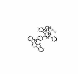 C[Si]1(C)c2ccccc2-c2c(-c3ccc(-n4c5ccccc5c5ccc6c7ccccc7sc6c54)cc3)nc(-c3ccccc3)nc21